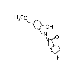 COCc1ccc(O)c(/C=N/NC(=O)c2ccc(F)cc2)c1